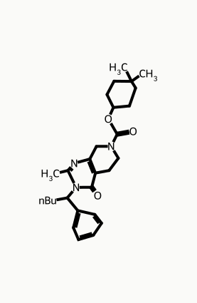 CCCCC(c1ccccc1)n1c(C)nc2c(c1=O)CCN(C(=O)OC1CCC(C)(C)CC1)C2